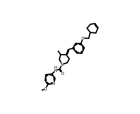 COc1ccc(NC(=O)N2CCC(=Cc3cccc(OCC4CC=CCC4)c3)C(C)C2)cn1